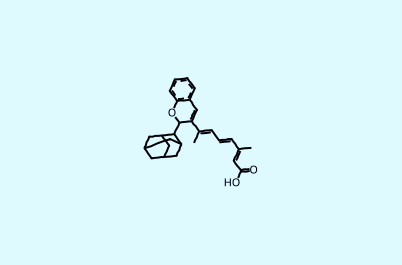 CC(C=CC=C(C)C1=Cc2ccccc2OC1C1C2CC3CC(C2)CC1C3)=CC(=O)O